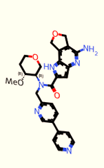 CO[C@@H]1CCOC[C@H]1N(Cc1ccc(-c2ccncc2)cn1)C(=O)c1cc2nc(N)c3c(c2[nH]1)COC3